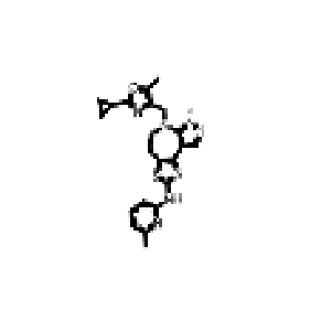 Cc1cccc(Nc2nc3c(s2)CCN(Cc2nc(C4CC4)oc2C)c2[nH]ncc2-3)n1